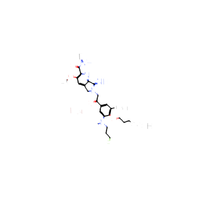 Br.CCNC(=O)c1nc2c(cc1OCC)CN(CC(=O)c1cc(N(C)CCCF)c(OCCCC(=O)O)c(C(C)(C)C)c1)C2=N